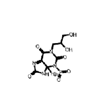 CCCCC12NC(=O)N=C1C(=O)N(CC(O)CO)C(=O)N2P(=O)=O